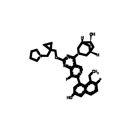 CCc1c(F)ccc2cc(O)cc(-c3ncc4c(N5C[C@@H]6C[C@H](C5)[C@H](O)C6)nc(OCC5(CN6CCCC6)CC5)nc4c3F)c12